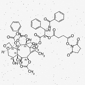 CC(=O)O[C@H]1C(=O)[C@@]2(C)[C@H](C(OC(=O)c3ccccc3)[C@]3(O)CC(OC(=O)[C@H](OC(=O)CCC(=O)ON4C(=O)CCC4=O)[C@@H](NC(=O)c4ccccc4)c4ccccc4)C(C)=C1C3(C)C)[C@]1(OC(C)=O)CO[C@@H]1C[C@@H]2O